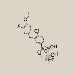 CCOc1ccc(Cc2cc([C@]34C[C@@H](O)[C@H](O)[C@]([C@@H](C)F)(CO3)O4)ccc2Cl)cc1F